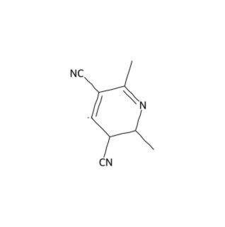 CC1=NC(C)C(C#N)[C]=C1C#N